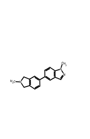 CN1Cc2ccc(-c3ccc4c(cnn4C)c3)cc2C1